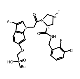 CCCCP(=O)(O)COc1ccc2c(C(C)=O)cn(CC(=O)N3C[C@H](F)C[C@H]3C(=O)NCc3cccc(Cl)c3F)c2c1